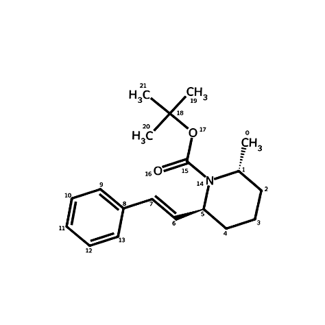 C[C@@H]1CCC[C@@H](C=Cc2ccccc2)N1C(=O)OC(C)(C)C